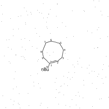 CCCC/C1=[C]/CCCCCCC1